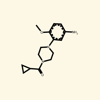 COc1ccc(N)cc1N1CCN(C(=O)C2CC2)CC1